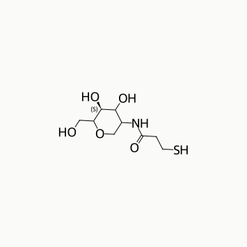 O=C(CCS)NC1COC(CO)[C@@H](O)C1O